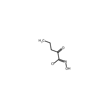 CCCC(=O)/C(Cl)=N/O